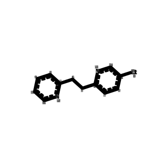 CCc1ccc(CCc2ccccn2)nc1